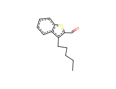 CCCCCc1c(C=O)sc2ccccc12